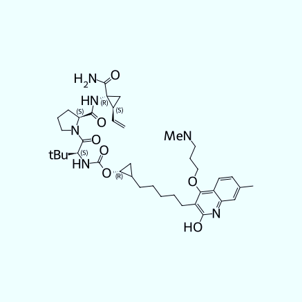 C=C[C@@H]1C[C@]1(NC(=O)[C@@H]1CCCN1C(=O)[C@@H](NC(=O)O[C@@H]1CC1CCCCCc1c(O)nc2cc(C)ccc2c1OCCCNC)C(C)(C)C)C(N)=O